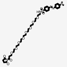 CN(C)c1ccc(/N=N/c2ccc(S(=O)(=O)NCCOCCOCCOCCOCCOCCOCCOCCOCCC(=O)N3C(=O)CCC3=O)cc2)cc1